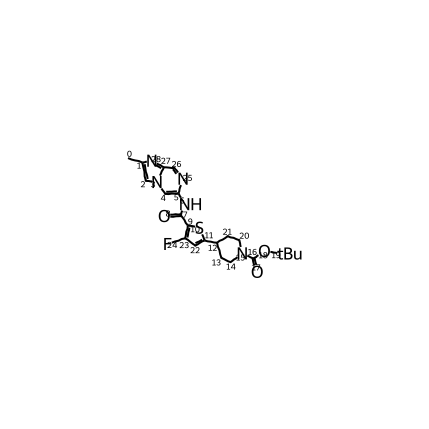 Cc1cn2cc(NC(=O)c3sc(C4CCN(C(=O)OC(C)(C)C)CC4)cc3F)ncc2n1